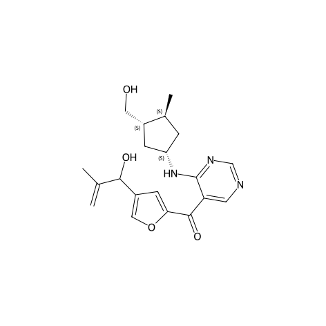 C=C(C)C(O)c1coc(C(=O)c2cncnc2N[C@@H]2C[C@H](CO)[C@@H](C)C2)c1